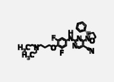 CCN(CC)CCCOc1c(F)cc(Nc2ncc(C#N)c(N3OCC[C@H]3c3ccccc3)n2)cc1F